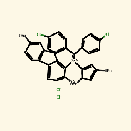 CCCC1C=C(C(C)(C)C)C=[C]1[Zr+2](=[C](c1ccc(Cl)cc1)c1ccc(Cl)cc1)[c]1c(C(C)(C)C)ccc2c1Cc1cc(C(C)(C)C)ccc1-2.[Cl-].[Cl-]